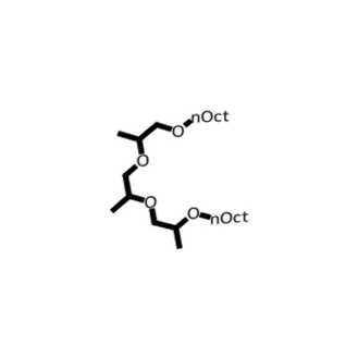 CCCCCCCCOCC(C)OCC(C)OCC(C)OCCCCCCCC